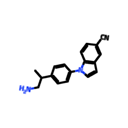 CC(CN)c1ccc(-n2ccc3cc(C#N)ccc32)cc1